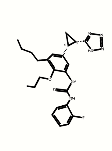 CCCCc1cc([C@@H]2C[C@@H]2c2nnn[nH]2)cc(NC(=O)Nc2ccccc2F)c1OCCC